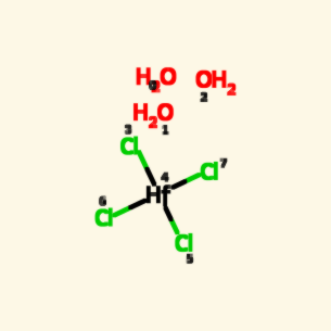 O.O.O.[Cl][Hf]([Cl])([Cl])[Cl]